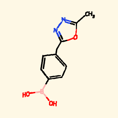 Cc1nnc(-c2ccc(B(O)O)cc2)o1